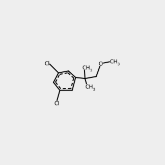 COCC(C)(C)c1cc(Cl)cc(Cl)c1